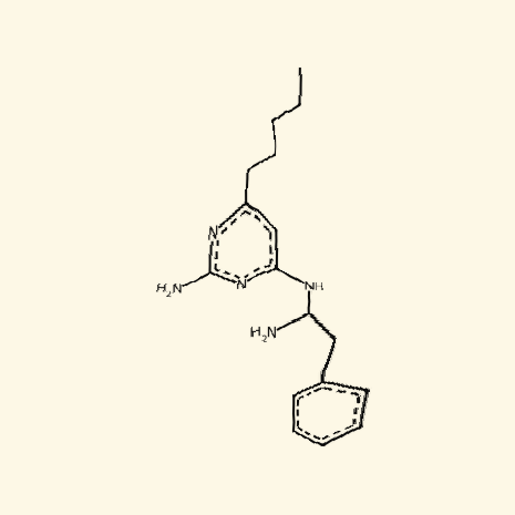 CCCCCc1cc(NC(N)Cc2ccccc2)nc(N)n1